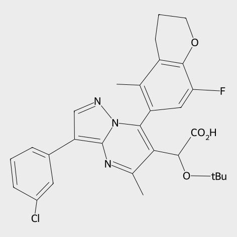 Cc1nc2c(-c3cccc(Cl)c3)cnn2c(-c2cc(F)c3c(c2C)CCCO3)c1C(OC(C)(C)C)C(=O)O